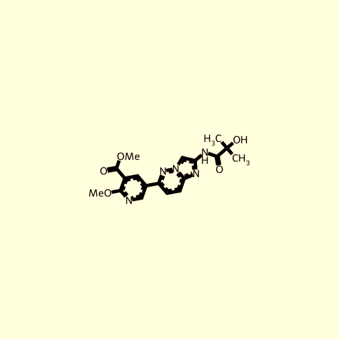 COC(=O)c1cc(-c2ccc3nc(NC(=O)C(C)(C)O)cn3n2)cnc1OC